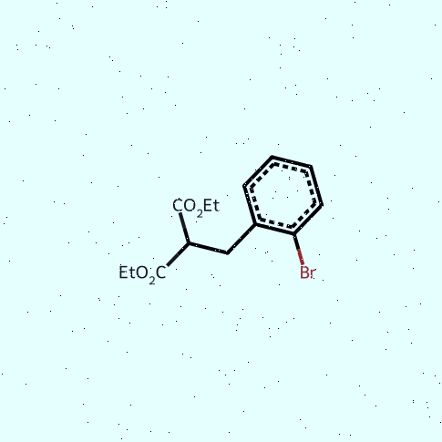 CCOC(=O)C(Cc1ccccc1Br)C(=O)OCC